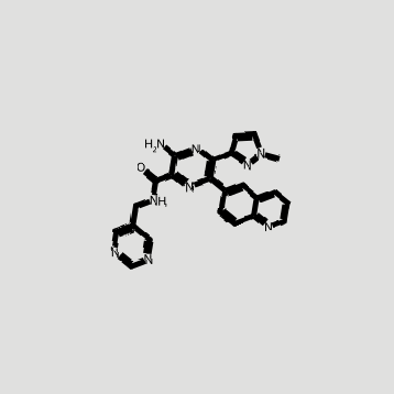 Cn1ccc(-c2nc(N)c(C(=O)NCc3cncnc3)nc2-c2ccc3ncccc3c2)n1